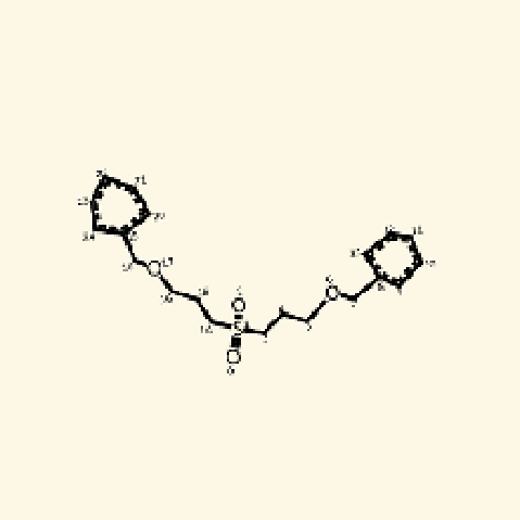 O=S(=O)(CCCOCc1ccccc1)CCCOCc1ccccc1